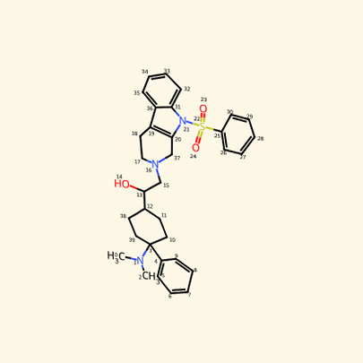 CN(C)C1(c2ccccc2)CCC(C(O)CN2CCc3c(n(S(=O)(=O)c4ccccc4)c4ccccc34)C2)CC1